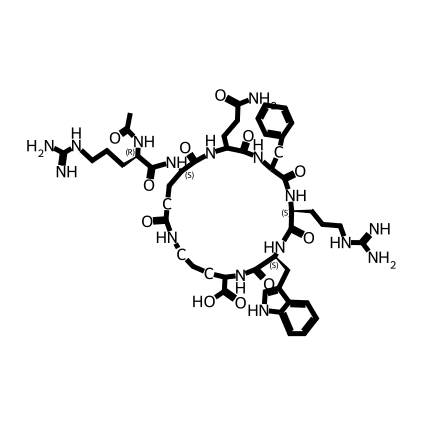 CC(=O)N[C@H](CCCNC(=N)N)C(=O)N[C@H]1CCC(=O)NCCCC(C(=O)O)NC(=O)[C@H](Cc2c[nH]c3ccccc23)NC(=O)[C@H](CCCNC(=N)N)NC(=O)C(Cc2ccccc2)NC(=O)C(CCC(N)=O)NC1=O